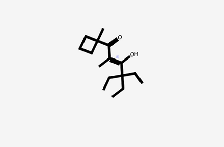 CCC(CC)(CC)/C(O)=C(\C)C(=O)C1(C)CCC1